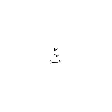 S=[Se].[Cu].[In]